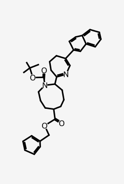 CC(C)(C)OC(=O)N1CCCC(C(=O)OCc2ccccc2)CCCC1C1=NC=C(c2ccc3ccccc3c2)CCC1